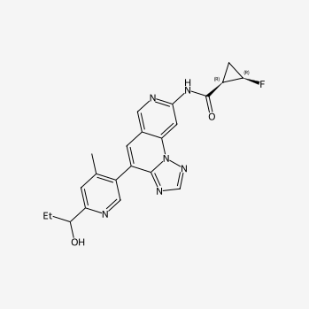 CCC(O)c1cc(C)c(-c2cc3cnc(NC(=O)[C@H]4C[C@H]4F)cc3n3ncnc23)cn1